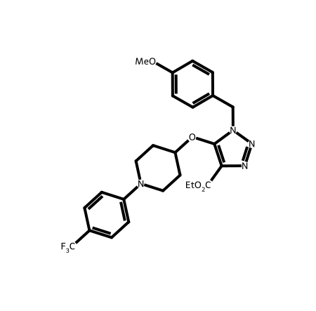 CCOC(=O)c1nnn(Cc2ccc(OC)cc2)c1OC1CCN(c2ccc(C(F)(F)F)cc2)CC1